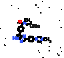 COCCN(C)C(=O)c1ccc(-c2c[nH]c3ncc(-c4ccc(N5CCN(C)CC5)cc4)nc23)cc1